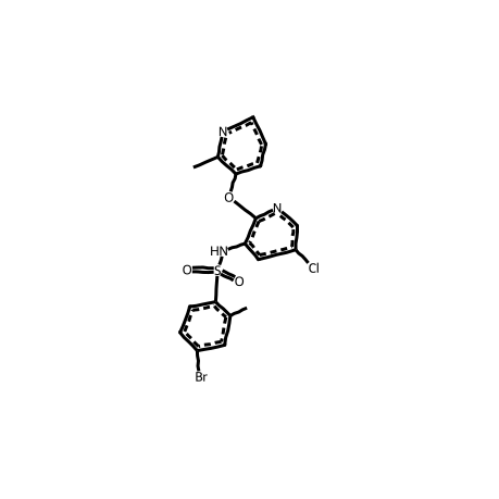 Cc1cc(Br)ccc1S(=O)(=O)Nc1cc(Cl)cnc1Oc1cccnc1C